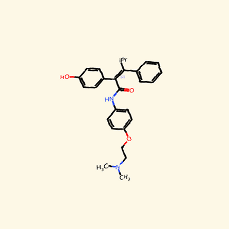 CC(C)/C(=C(/C(=O)Nc1ccc(OCCN(C)C)cc1)c1ccc(O)cc1)c1ccccc1